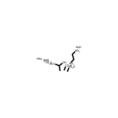 CC(=O)O.CC(=O)O.CC(=O)OC(C)O.NCCN.O.O.[NaH].[NaH].[NaH]